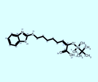 CC(C)(C)[Si](C)(C)O/C(=C/CCCCCSc1nc2ccccc2s1)C(=O)O